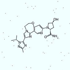 Cc1nc(-c2cn3c(n2)-c2cnc(N4C[C@@H](O)C[C@H]4C(N)=O)cc2OCC3)n(C(C)C)n1